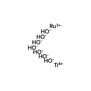 [OH-].[OH-].[OH-].[OH-].[OH-].[OH-].[OH-].[Ru+3].[Ti+4]